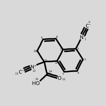 [C-]#[N+]c1cccc2c1C=CCC2([N+]#[C-])C(=O)O